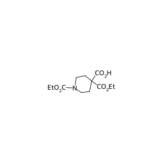 CCOC(=O)N1CCC(C(=O)O)(C(=O)OCC)CC1